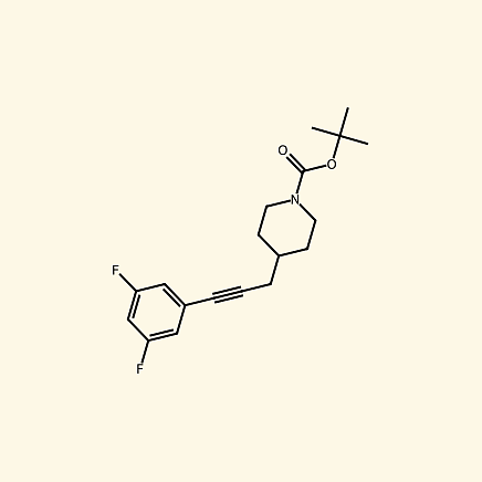 CC(C)(C)OC(=O)N1CCC(CC#Cc2cc(F)cc(F)c2)CC1